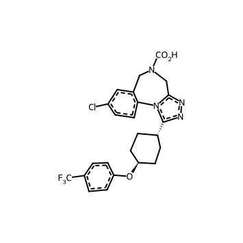 O=C(O)N1Cc2cc(Cl)ccc2-n2c(nnc2[C@H]2CC[C@H](Oc3ccc(C(F)(F)F)cc3)CC2)C1